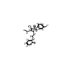 CC[C@H]1C(=O)N(S(=O)(=O)c2ccc(C)cc2)[C@H]1CCOC1=CC=CCC1=S